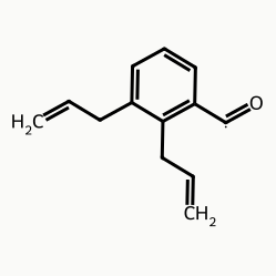 C=CCc1cccc([C]=O)c1CC=C